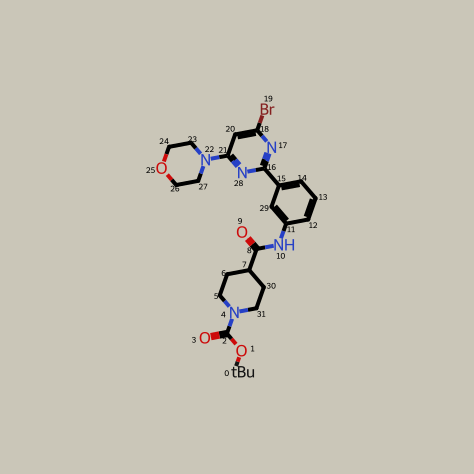 CC(C)(C)OC(=O)N1CCC(C(=O)Nc2cccc(-c3nc(Br)cc(N4CCOCC4)n3)c2)CC1